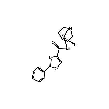 O=C(N[C@H]1CN2CCC1CC2)c1coc(-c2ccccc2)n1